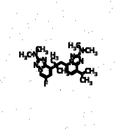 CC(C)c1ccc(CC(C)(C)c2cc(F)cn3nc(N(C)C)nc23)n2nc(N(C)C)nc12